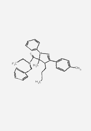 CCCCC1C(c2ccc(C)cc2)=NN(c2ccccc2)C1(C)C(=O)N(CC)Cc1ccccc1